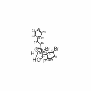 CC(CO)(c1cc(Br)ccc1F)N(Br)C(=O)CCc1ccccc1